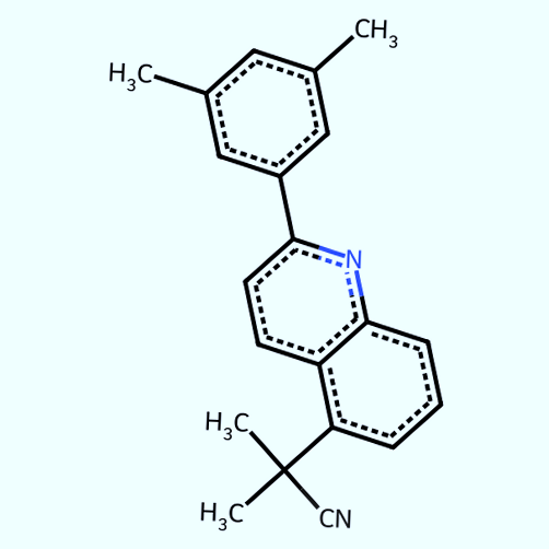 Cc1cc(C)cc(-c2ccc3c(C(C)(C)C#N)cccc3n2)c1